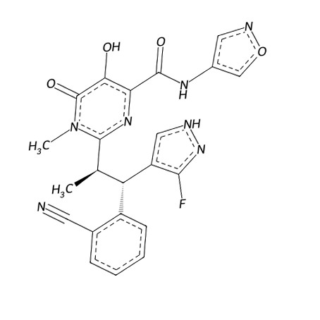 C[C@@H](c1nc(C(=O)Nc2cnoc2)c(O)c(=O)n1C)[C@@H](c1ccccc1C#N)c1c[nH]nc1F